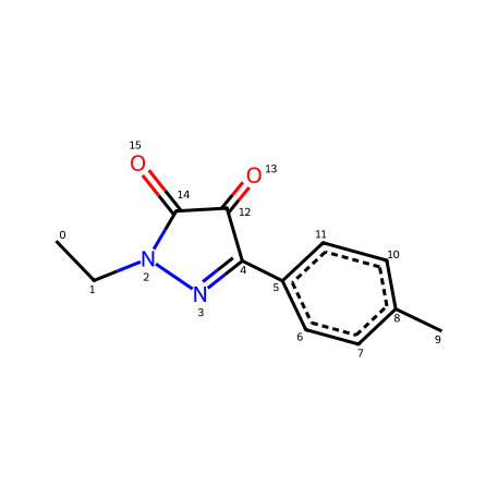 CCN1N=C(c2ccc(C)cc2)C(=O)C1=O